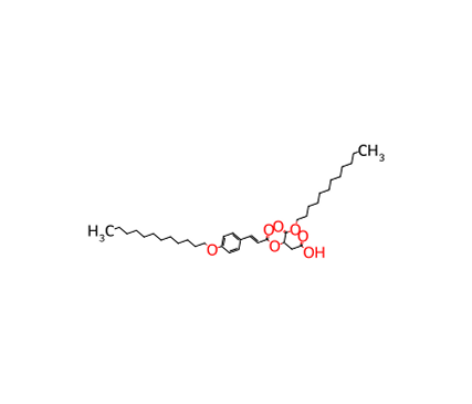 CCCCCCCCCCCCOC(=O)C(CC(=O)O)OC(=O)C=Cc1ccc(OCCCCCCCCCCCC)cc1